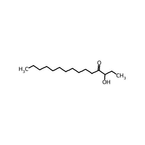 CCCCCCCCCCCC(=O)C(O)CC